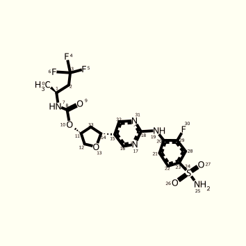 C[C@@H](CC(F)(F)F)NC(=O)O[C@H]1CO[C@@H](c2cnc(Nc3ccc(S(N)(=O)=O)cc3F)nc2)C1